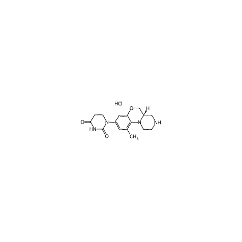 Cc1cc(N2CCC(=O)NC2=O)cc2c1N1CCNC[C@H]1CO2.Cl